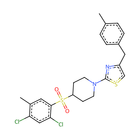 Cc1ccc(Cc2csc(N3CCC(S(=O)(=O)c4cc(C)c(Cl)cc4Cl)CC3)n2)cc1